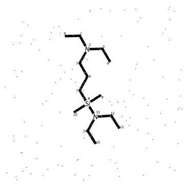 CCN(CC)CCC[Si](C)(C)N(CC)CC